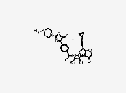 CCC(C)C(NC(=O)c1ccc(-c2nc(N3CCN(C)CC3)sc2C)cc1)C(=O)N1CC(C#CC2CC2)C2OCC(=O)C21